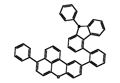 c1ccc(-c2ccc3c4c(cccc24)-c2cc(-c4ccccc4-c4cccc5c4c4ccccc4n5-c4ccccc4)ccc2O3)cc1